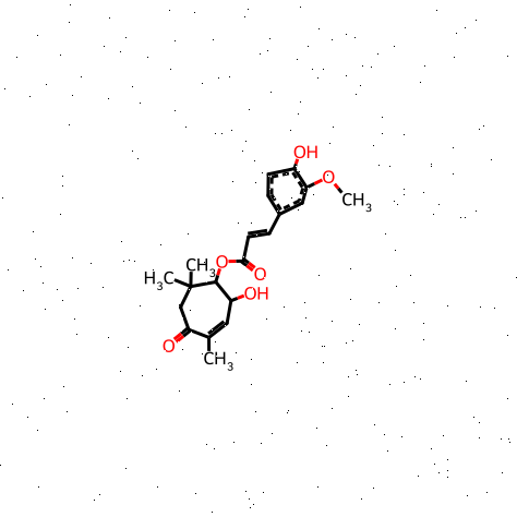 COc1cc(C=CC(=O)OC2C(O)C=C(C)C(=O)CC2(C)C)ccc1O